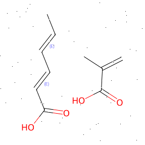 C/C=C/C=C/C(=O)O.C=C(C)C(=O)O